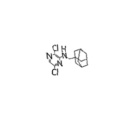 Clc1cnc(Cl)c(NCC23CC4CC(CC(C4)C2)C3)n1